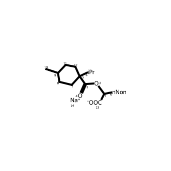 CCCCCCCCCC(OC(=O)C1(C(C)C)CCC(C)CC1)C(=O)[O-].[Na+]